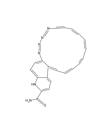 NC(=O)c1ccc2c(ccc3nnnncccccccccccc32)[nH]1